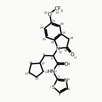 O=C(Nc1nccs1)C(CC1CCCC1)N1C(=O)Cc2cc(OC(F)(F)F)ccc21